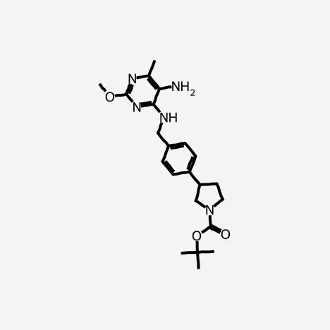 COc1nc(C)c(N)c(NCc2ccc(C3CCN(C(=O)OC(C)(C)C)C3)cc2)n1